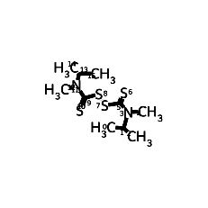 CC(C)N(C)C(=S)SSC(=S)N(C)C(C)C